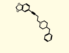 C(#Cc1ccc2c(c1)OCO2)CCN1CCC(Cc2ccccc2)CC1